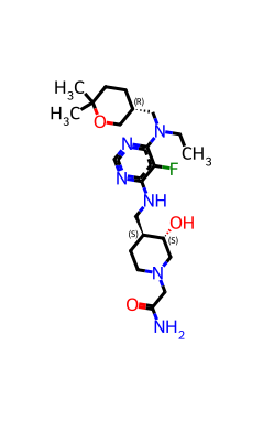 CCN(C[C@H]1CCC(C)(C)OC1)c1ncnc(NC[C@@H]2CCN(CC(N)=O)C[C@H]2O)c1F